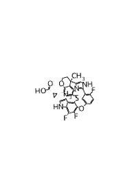 CSc1c(Oc2ccc(F)c(-c3nc([C@@]4(C)CCOc5c([C@@H]6C[C@@H]6C(=O)O)cccc54)c[nH]3)c2)c(F)c(F)c2[nH]ccc12